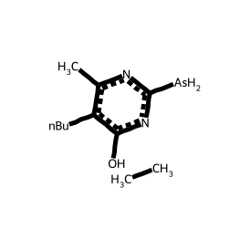 CC.CCCCc1c(C)nc([AsH2])nc1O